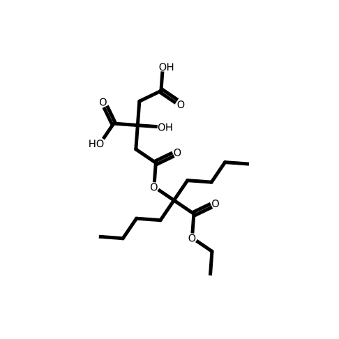 CCCCC(CCCC)(OC(=O)CC(O)(CC(=O)O)C(=O)O)C(=O)OCC